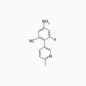 Cc1ccc(-c2c(F)cc([N+](=O)[O-])cc2C#N)cn1